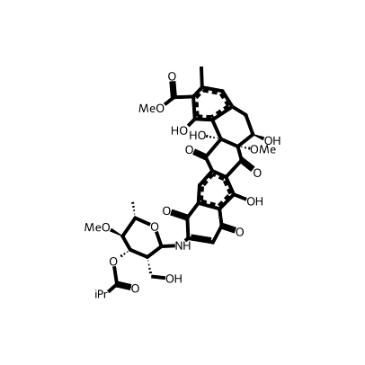 COC(=O)c1c(C)cc2c(c1O)[C@]1(O)C(=O)c3cc4c(c(O)c3C(=O)[C@]1(OC)[C@H](O)C2)C(=O)C=C(NC1O[C@@H](C)[C@H](OC)[C@@H](OC(=O)C(C)C)[C@H]1CO)C4=O